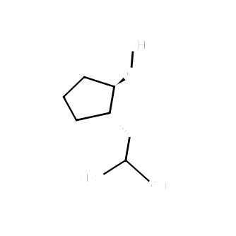 CO[C@@H]1CCC[C@H]1CC(C)C